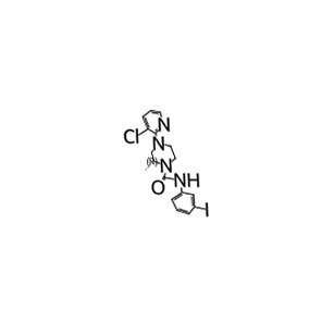 C[C@@H]1CN(c2ncccc2Cl)CCN1C(=O)Nc1cccc(I)c1